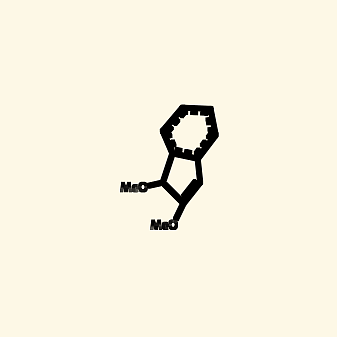 CO[C]1C(OC)=Cc2ccccc21